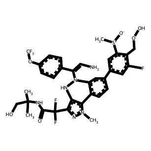 Cn1nc(C(F)(F)C(=O)NC(C)(C)CO)c2c1-c1ccc(-c3cc(F)c(COO)c([S+](C)[O-])c3)cc1N(/C(=C\N)c1ccc(OC(F)(F)F)cc1)N2